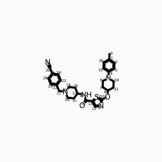 Cc1ccc(N2CCC(Oc3ncc(C(=O)NC4CCN(Cc5ccc(C#N)cc5)CC4)s3)CC2)cc1